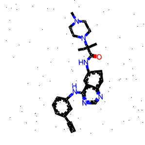 C#Cc1cccc(Nc2ncnc3ccc(NC(=O)C(C)(C)N4CCN(C)CC4)cc23)c1